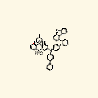 CC1C[C@H]2CCC[C@H](C1)C21c2ccccc2S(=O)(=O)c2cc(N(c3ccc(-c4ccccc4)cc3)c3ccc(-c4ccccc4-c4cccc5sc6ccccc6c45)cc3)ccc21